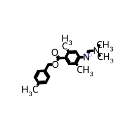 Cc1ccc(COC(=O)c2cc(C)c(/N=C/N(C)C)cc2C)cc1